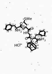 CSCC[C@@H](NC(=O)[C@H](N)Cc1ccccc1)C(=O)NCC(=O)N(C1C2CC3CC(C2)CC1C3)[C@@H](Cc1ccccc1)C(N)=O.Cl